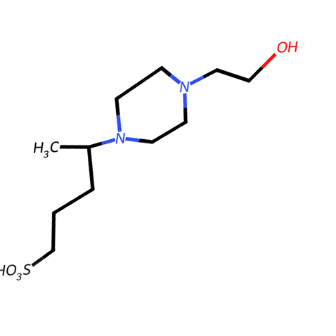 CC(CCCS(=O)(=O)O)N1CCN(CCO)CC1